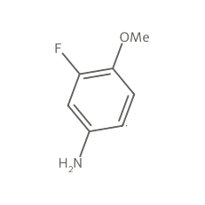 COc1c[c]c(N)cc1F